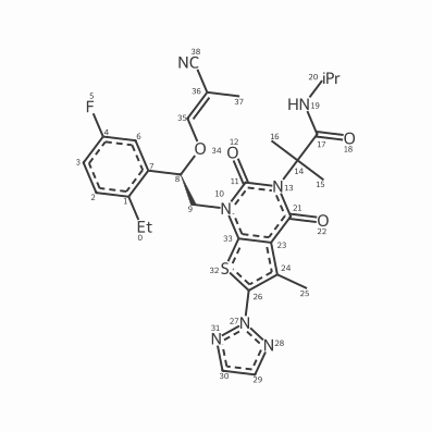 CCc1ccc(F)cc1[C@H](Cn1c(=O)n(C(C)(C)C(=O)NC(C)C)c(=O)c2c(C)c(-n3nccn3)sc21)O/C=C(\C)C#N